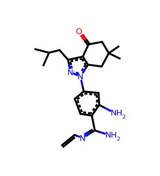 C=C/N=C(/N)c1ccc(-n2nc(CC(C)C)c3c2CC(C)(C)CC3=O)cc1N